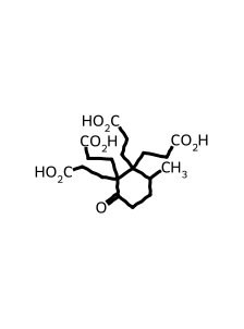 CC1CCC(=O)C(CCC(=O)O)(CCC(=O)O)C1(CCC(=O)O)CCC(=O)O